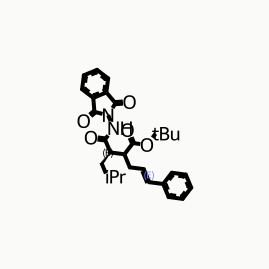 CC(C)C[C@@H](C(=O)NN1C(=O)c2ccccc2C1=O)C(C/C=C/c1ccccc1)C(=O)OC(C)(C)C